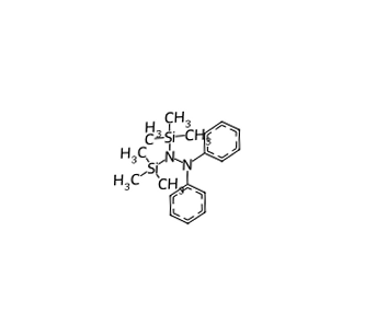 C[Si](C)(C)N(N(c1ccccc1)c1ccccc1)[Si](C)(C)C